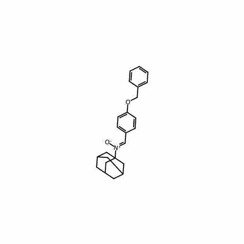 [O-][N+](=Cc1ccc(OCc2ccccc2)cc1)C12CC3CC(CC(C3)C1)C2